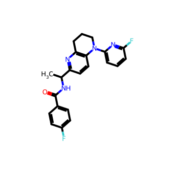 CC(NC(=O)c1ccc(F)cc1)c1ccc2c(n1)CCCN2c1cccc(F)n1